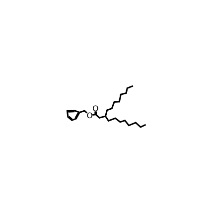 CCCCCCCCC(CCCCCCCC)CC(=O)OCc1ccccc1